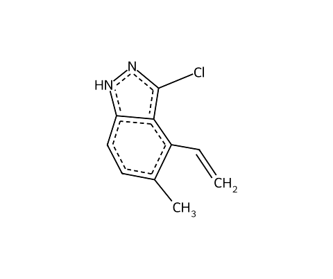 C=Cc1c(C)ccc2[nH]nc(Cl)c12